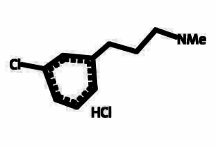 CNCCCc1cccc(Cl)c1.Cl